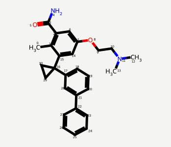 Cc1c(C(N)=O)cc(OCCN(C)C)cc1C1(c2cccc(-c3ccccc3)c2)CC1